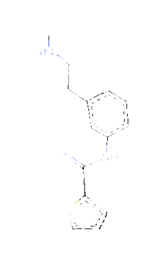 CCNCCc1cccc(NC(=N)c2cccs2)c1